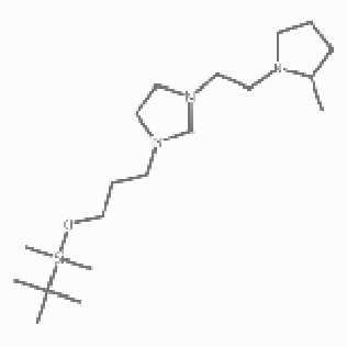 CC1CCCN1CCN1[C]N(CCCO[Si](C)(C)C(C)(C)C)CC1